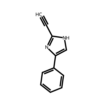 C#Cc1nc(-c2ccccc2)c[nH]1